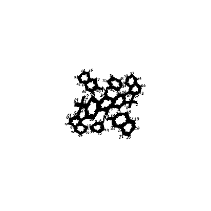 CC1(C)c2cc3c(N(c4ccccc4)c4ccc5ccccc5c4)c4cc5c(cc4c(N(c4ccccc4)c4ccc6ccccc6c4)c3cc2-c2c1ccc1ccccc21)C(C)(C)c1ccc2ccccc2c1-5